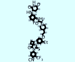 CCc1cc(N2C(=S)N(c3ccc(C#N)c(C(F)(F)F)c3)C(=O)C23CCC3)ccc1OCCC1CCN([C@H](C)C(=O)Nc2cc(NC3CCC(=O)NC3=O)ccc2F)CC1